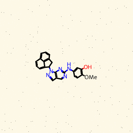 COc1ccc(Nc2ncc3cnn(C4Cc5cccc6cccc4c56)c3n2)cc1O